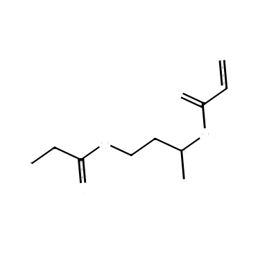 C=CC(=O)OC(C)CCOC(=O)CC